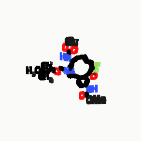 COC(=O)Nc1ccc2c(c1)C(=O)C(F)(F)C/C=C/C[C@H](NC(=O)OC(C)(C)C)c1nc-2cn1COCC[Si](C)(C)C